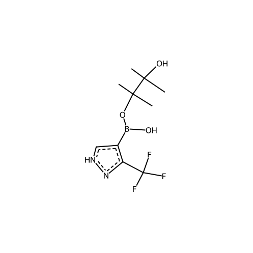 CC(C)(O)C(C)(C)OB(O)c1c[nH]nc1C(F)(F)F